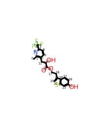 Cc1nc(C(F)(F)F)ccc1CC(O)C(=O)OCCc1csc2cc(O)ccc12